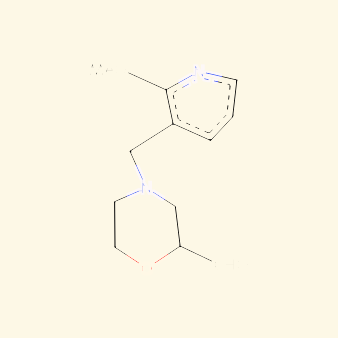 COc1ncccc1CN1CCOC(C=O)C1